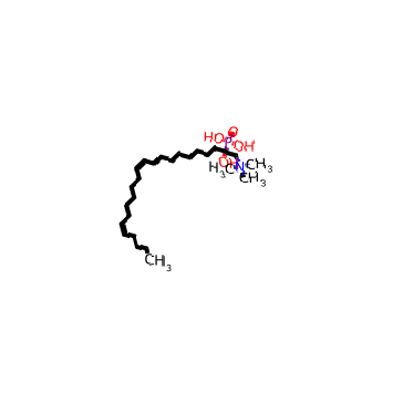 CCCC/C=C\CCCCC/C=C\CCCCCCCCC(O)(C[N+](C)(C)C)P(=O)(O)O